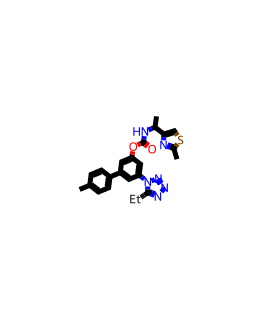 CCc1nnnn1-c1cc(OC(=O)NC(C)c2csc(C)n2)cc(-c2ccc(C)cc2)c1